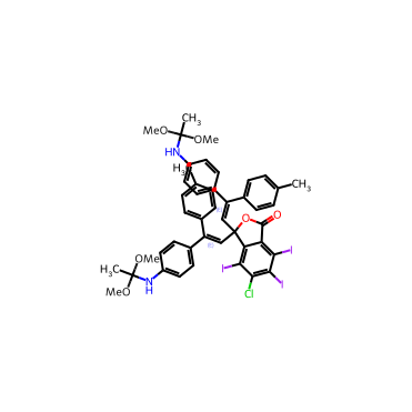 COC(C)(Nc1ccc(/C(=C/C2(/C=C(\c3ccc(C)cc3)c3ccc(NC(C)(OC)OC)cc3)OC(=O)c3c(I)c(I)c(Cl)c(I)c32)c2ccc(C)cc2)cc1)OC